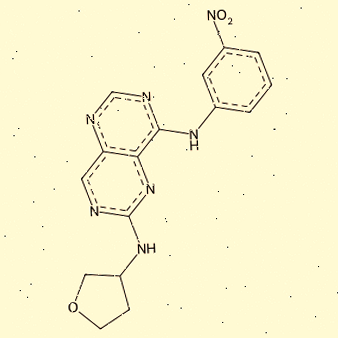 O=[N+]([O-])c1cccc(Nc2ncnc3cnc(NC4CCOC4)nc23)c1